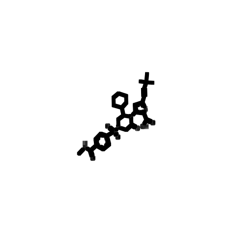 CNC(=O)c1ccc(S(=O)(=O)N2CC(=O)N(c3cc(C#CC(C)(C)C)sc3C(=O)O)C(C3CCCCC3)C2)cc1